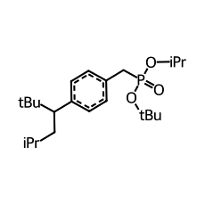 CC(C)CC(c1ccc(CP(=O)(OC(C)C)OC(C)(C)C)cc1)C(C)(C)C